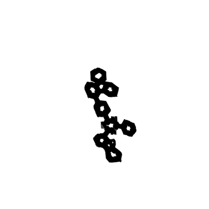 c1ccc(-c2nc(-c3ccc(-c4cccc5c4-c4ccccc4C54CCCCC4)cc3)nc(-c3cccc4c3oc3ccccc34)n2)cc1